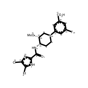 CCc1[nH]c(C(=O)N[C@H]2CCN(c3cc(F)cc(C(=O)O)c3)C[C@H]2OC)nc1Cl